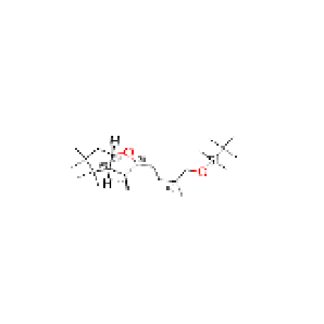 C[C@H](CC[C@H]1O[C@H]2CC(C)(C)C(C)(C)[C@H]2[C@@H]1C)CO[Si](C)(C)C(C)(C)C